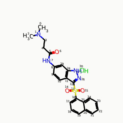 CN(C)CCC(=O)Nc1ccc2c(S(=O)(=O)c3cccc4ccccc34)n[nH]c2c1.Cl